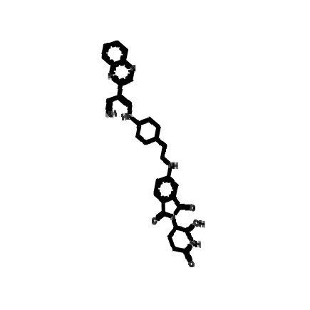 N=C/C(=C\NC1CCC(CCNc2ccc3c(c2)C(=O)N(C2CCC(=O)NC2O)C3=O)CC1)c1cnc2ccccc2n1